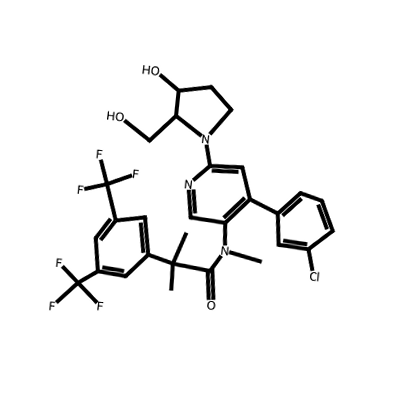 CN(C(=O)C(C)(C)c1cc(C(F)(F)F)cc(C(F)(F)F)c1)c1cnc(N2CCC(O)C2CO)cc1-c1cccc(Cl)c1